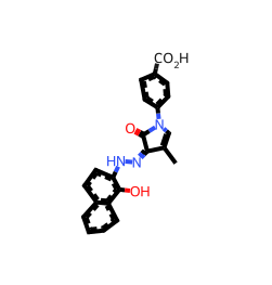 CC1=CN(c2ccc(C(=O)O)cc2)C(=O)/C1=N\Nc1ccc2ccccc2c1O